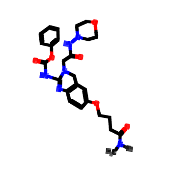 CCN(C)C(=O)CCCOc1ccc2c(c1)CN(CC(=O)NN1CCOCC1)C(NC(=O)Oc1ccccc1)=N2